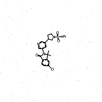 CCCS(=O)(=O)N1CCC(c2cncc(N3C(=O)c4ccc(Cl)cc4C3(C)C)c2)C1